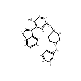 Clc1cnc(NC2CCN(Cc3cccnc3)CC2)nc1-c1c[nH]c2ccccc12